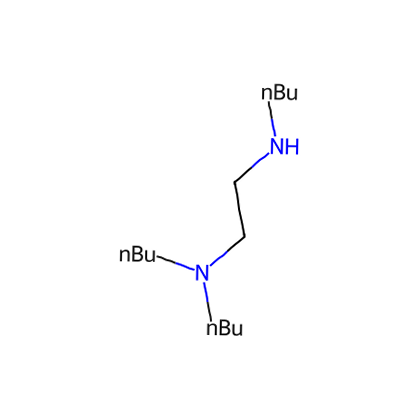 CCCCNCCN(CCCC)CCCC